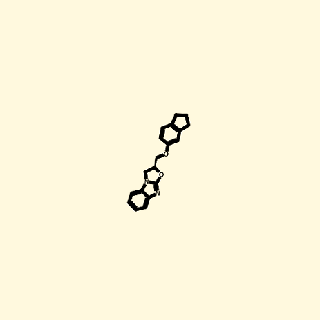 c1ccc2c(c1)nc1n2C[C@@H](COc2ccc3c(c2)CCC3)O1